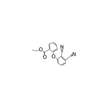 CCOC(=O)c1ccccc1Oc1cccc(C#N)c1C#N